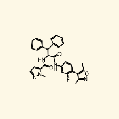 Cc1noc(C)c1-c1ccc(NC(=O)C(NC(=O)c2ccnn2C)C(c2ccccc2)c2ccccc2)cc1F